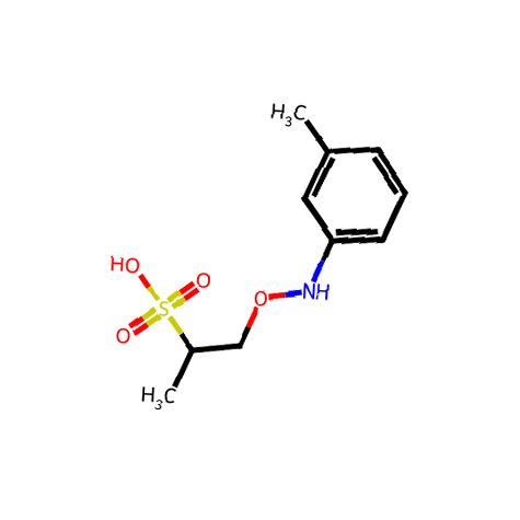 Cc1cccc(NOCC(C)S(=O)(=O)O)c1